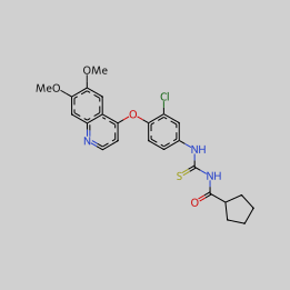 COc1cc2nccc(Oc3ccc(NC(=S)NC(=O)C4CCCC4)cc3Cl)c2cc1OC